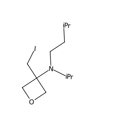 CC(C)CCN(C(C)C)C1(CI)COC1